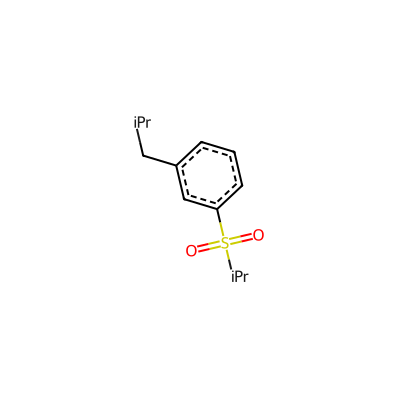 CC(C)Cc1cccc(S(=O)(=O)C(C)C)c1